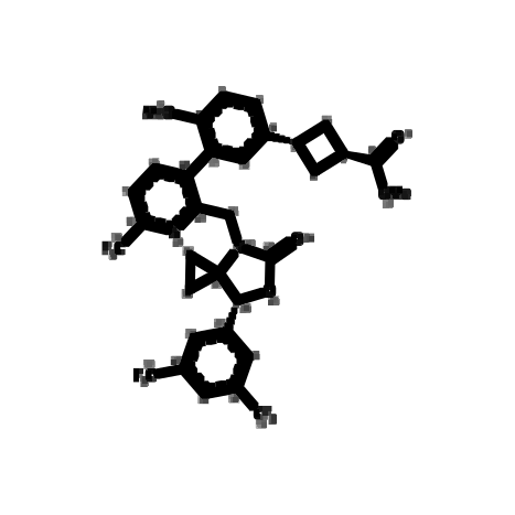 COc1ccc([C@H]2C[C@H](C(=O)OC)C2)cc1-c1ccc(C(F)(F)F)nc1CN1C(=O)O[C@H](c2cc(C(F)(F)F)cc(C(F)(F)F)c2)C12CC2